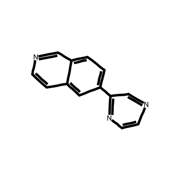 c1cnc(-c2ccc3cnccc3c2)cn1